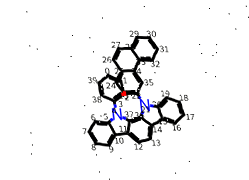 c1ccc(-n2c3ccccc3c3ccc4c5ccccc5n(-c5ccc6ccc7ccccc7c6c5)c4c32)cc1